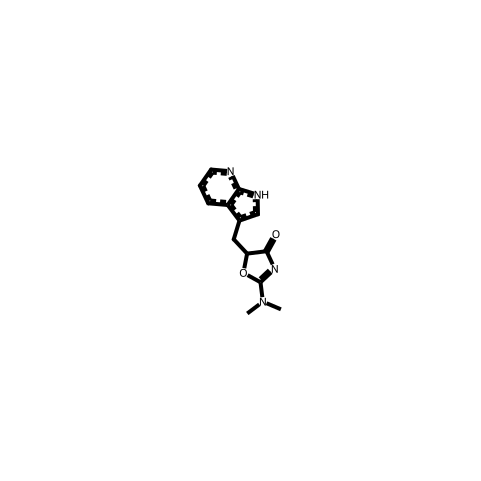 CN(C)C1=NC(=O)C(Cc2c[nH]c3ncccc23)O1